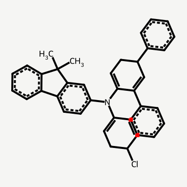 CC1(C)c2ccccc2-c2ccc(N(C3=CCC(Cl)C=C3)C3=CCC(c4ccccc4)C=C3c3ccccc3)cc21